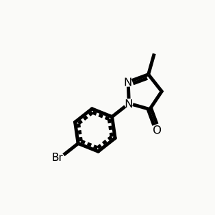 CC1=NN(c2ccc(Br)cc2)C(=O)C1